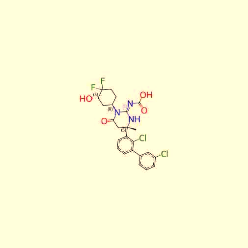 C[C@@]1(c2cccc(-c3cccc(Cl)c3)c2Cl)CC(=O)N([C@@H]2CCC(F)(F)[C@@H](O)C2)/C(=N/C(=O)O)N1